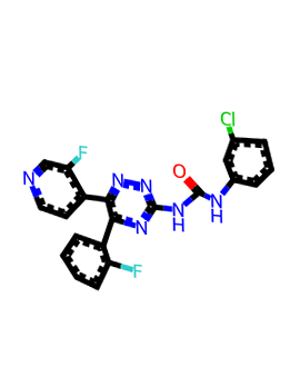 O=C(Nc1cccc(Cl)c1)Nc1nnc(-c2ccncc2F)c(-c2ccccc2F)n1